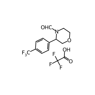 O=C(O)C(F)(F)F.O=CN1CCOCC1c1ccc(C(F)(F)F)cc1